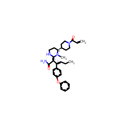 C=CC(=O)N1CCC([C@@H]2CCN/C(=C(C(N)=O)/C(=C/CC)c3ccc(Oc4ccccc4)cc3)N2C)CC1